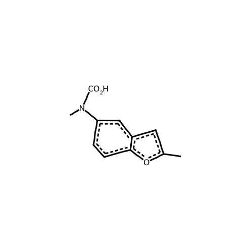 Cc1cc2cc(N(C)C(=O)O)ccc2o1